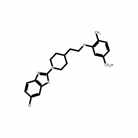 Cc1ccc(C(=O)O)cc1OCCC1CCN(c2nc3ccc(Cl)cc3s2)CC1